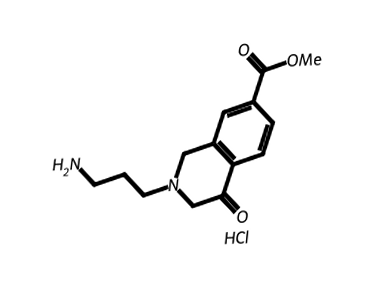 COC(=O)c1ccc2c(c1)CN(CCCN)CC2=O.Cl